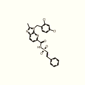 Cc1nc2ccc(C(=O)NS(=O)(=O)/C=C/c3ccccc3)nc2n1Cc1ccc(Cl)cc1Cl